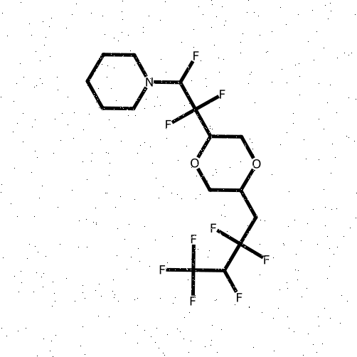 FC(C(F)(F)F)C(F)(F)CC1COC(C(F)(F)C(F)N2CCCCC2)CO1